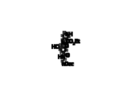 CCCCCCCCCCCCNC(=O)c1ccc(CN(CC2CCNCC2)C(=O)C(=O)OCC)cc1.Cl